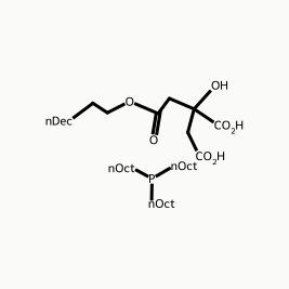 CCCCCCCCCCCCOC(=O)CC(O)(CC(=O)O)C(=O)O.CCCCCCCCP(CCCCCCCC)CCCCCCCC